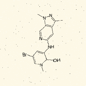 Cc1nn(C)c2cnc(NC3=CC(Br)=CN(C)C3O)cc12